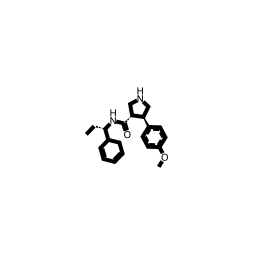 CC[C@H](NC(=O)[C@@H]1CNC[C@H]1c1ccc(OC)cc1)C1C=CC=CC1